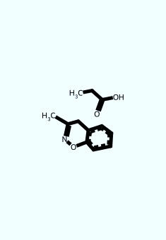 CC1=NOc2ccccc2C1.CCC(=O)O